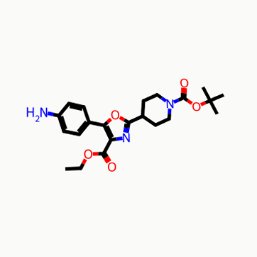 CCOC(=O)c1nc(C2CCN(C(=O)OC(C)(C)C)CC2)oc1-c1ccc(N)cc1